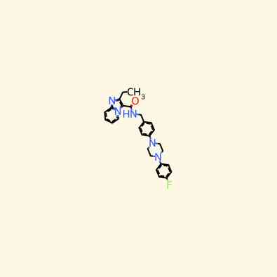 CCc1nc2ccccn2c1C(=O)NCc1ccc(N2CCN(c3ccc(F)cc3)CC2)cc1